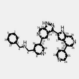 c1ccc(CNCc2cncc(-c3cc4c(-c5cc6c(-c7ccncc7)cncc6[nH]5)n[nH]c4cn3)c2)cc1